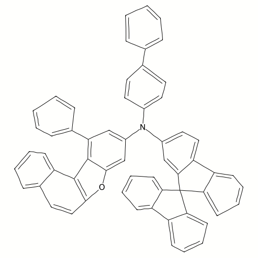 c1ccc(-c2ccc(N(c3ccc4c(c3)C3(c5ccccc5-c5ccccc53)c3ccccc3-4)c3cc(-c4ccccc4)c4c(c3)oc3ccc5ccccc5c34)cc2)cc1